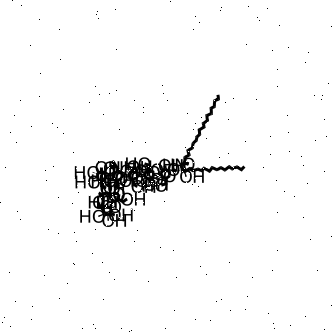 CCCCCCCCCCCCC/C=C/[C@@H](O)[C@H](CO[C@@H]1OC(CO)[C@@H](O[C@@H]2OC(CO)[C@H](O[C@@H]3OC(CO)[C@H](O)[C@H](O[C@@H]4OC(CO[C@@H]5OC(CO)[C@@H](O[C@@H]6OC(CO)[C@H](O)[C@H](O)C6O)[C@H](O)C5NC(C)=O)[C@H](O)[C@H](O[C@@H]5OC(CO)[C@H](O)[C@H](O)C5O)C4NC(C)=O)C3O)[C@H](O)C2O)[C@H](O)C1O)NC(=O)CCCCCCCCCCCCCCCCCCC